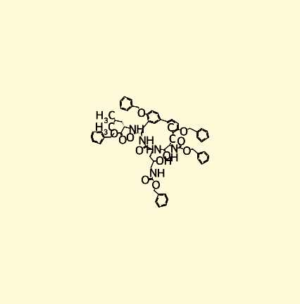 CC(C)C[C@H](NC(=O)[C@@H]1Cc2cc(ccc2OCc2ccccc2)-c2ccc(OCc3ccccc3)c(c2)C[C@H](NC(=O)OCc2ccccc2)C(=O)N[C@@H](C[C@@H](O)CNC(=O)OCc2ccccc2)C(=O)N1)C(=O)OCc1ccccc1